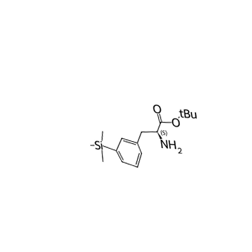 CC(C)(C)OC(=O)[C@@H](N)Cc1cccc([Si](C)(C)C)c1